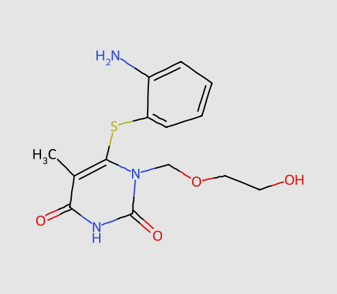 Cc1c(Sc2ccccc2N)n(COCCO)c(=O)[nH]c1=O